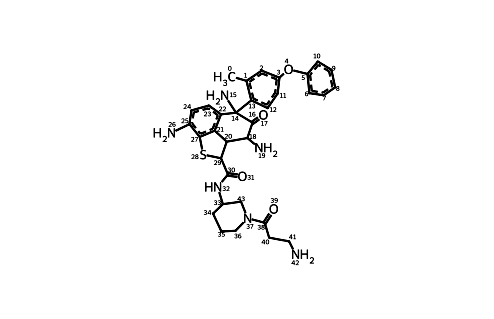 Cc1cc(Oc2ccccc2)ccc1C1(N)C(=O)C(N)C2c3c1ccc(N)c3SC2C(=O)NC1CCCN(C(=O)CCN)C1